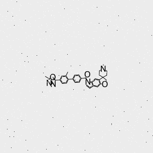 Cc1nnc(-c2ccc(-c3ccc(C(=O)n4ccc5cc6c(cc54)C4(CCN(C)CC4)CO6)cc3)c(C)c2)o1